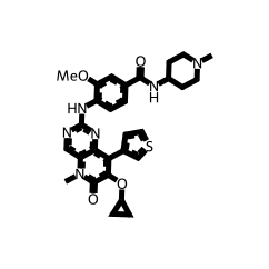 COc1cc(C(=O)NC2CCN(C)CC2)ccc1Nc1ncc2c(n1)c(-c1ccsc1)c(OC1CC1)c(=O)n2C